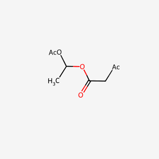 CC(=O)CC(=O)OC(C)OC(C)=O